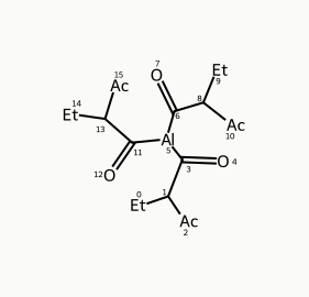 CCC(C(C)=O)[C](=O)[Al]([C](=O)C(CC)C(C)=O)[C](=O)C(CC)C(C)=O